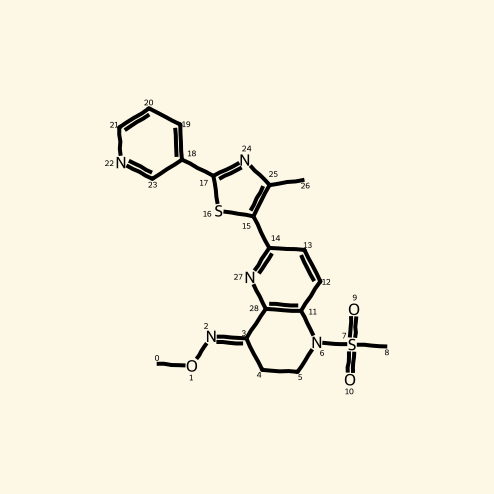 CO/N=C1\CCN(S(C)(=O)=O)c2ccc(-c3sc(-c4cccnc4)nc3C)nc21